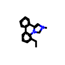 CCc1cccc2c1N1CN(C)C=C1c1ccccc1-2